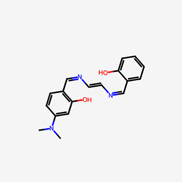 CN(C)c1ccc(\C=N/C=C/N=C\c2ccccc2O)c(O)c1